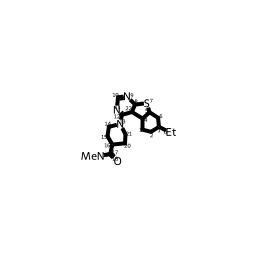 CCC1CCC2C(C1)SC1N=CN=C(N3CCC(C(=O)NC)CC3)C12